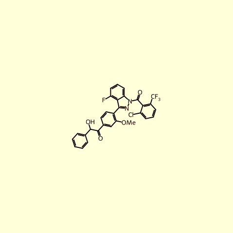 COc1cc(C(=O)C(O)c2ccccc2)ccc1-c1nn(C(=O)c2c(Cl)cccc2C(F)(F)F)c2cccc(F)c12